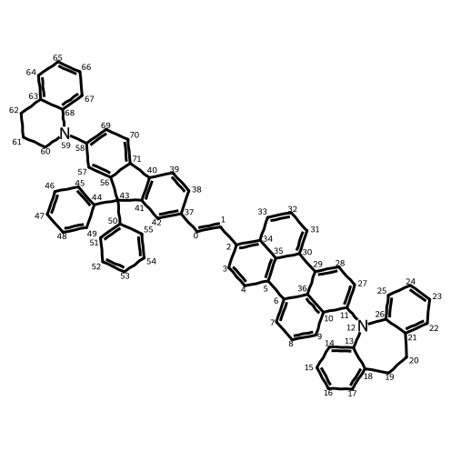 C(=C\c1ccc2c3cccc4c(N5c6ccccc6CCc6ccccc65)ccc(c5cccc1c25)c43)/c1ccc2c(c1)C(c1ccccc1)(c1ccccc1)c1cc(N3CCCc4ccccc43)ccc1-2